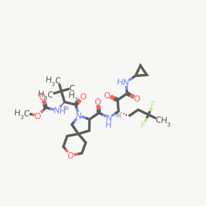 COC(=O)N[C@H](C(=O)N1CC2(CCOCC2)CC1C(=O)N[C@@H](CCC(C)(F)F)C(=O)C(=O)NC1CC1)C(C)(C)C